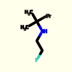 CC(C)C(C)(C)NCCF